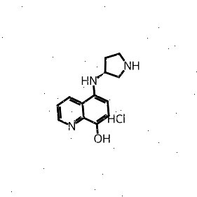 Cl.Oc1ccc(N[C@H]2CCNC2)c2cccnc12